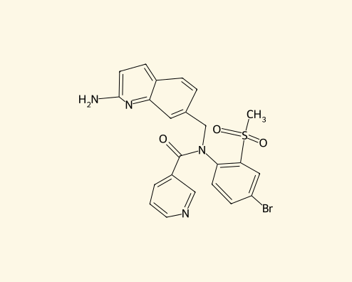 CS(=O)(=O)c1cc(Br)ccc1N(Cc1ccc2ccc(N)nc2c1)C(=O)c1cccnc1